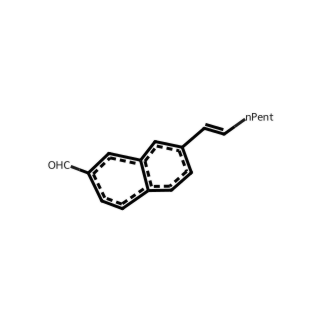 CCCCC/C=C/c1ccc2ccc(C=O)cc2c1